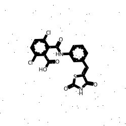 O=C1NC(=O)C(=Cc2cccc(NC(=O)c3c(Cl)ccc(Cl)c3C(=O)O)c2)S1